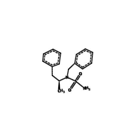 C[C@@H](Cc1ccccc1)N(Cc1ccccc1)S(N)(=O)=O